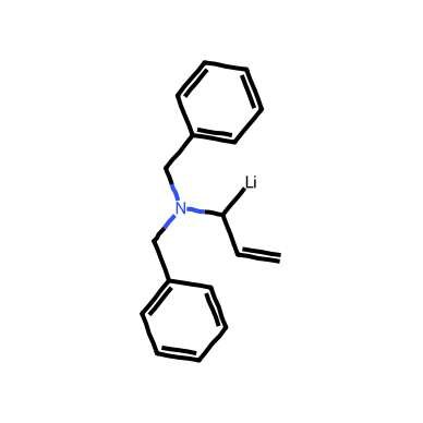 [Li][CH](C=C)N(Cc1ccccc1)Cc1ccccc1